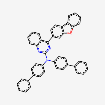 c1ccc(-c2ccc(N(c3ccc(-c4ccccc4)cc3)c3nc(-c4ccc5c(c4)oc4ccccc45)c4ccccc4n3)cc2)cc1